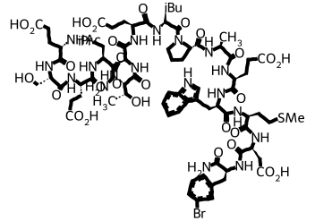 CC[C@H](C)[C@H](NC(=O)[C@H](CCC(=O)O)NC(=O)[C@H](CC(N)=O)NC(=O)[C@@H](NC(=O)[C@H](CC(C)C)NC(=O)[C@H](CCC(=O)O)NC(=O)[C@H](CO)NC(=O)[C@H](CCC(=O)O)NC(C)=O)[C@@H](C)O)C(=O)N1CCC[C@H]1C(=O)N[C@@H](C)C(=O)N[C@@H](CCC(=O)O)C(=O)N[C@H](Cc1c[nH]c2ccccc12)C(=O)N[C@@H](CCSC)C(=O)N[C@@H](CC(=O)O)C(=O)N[C@@H](Cc1cccc(Br)c1)C(N)=O